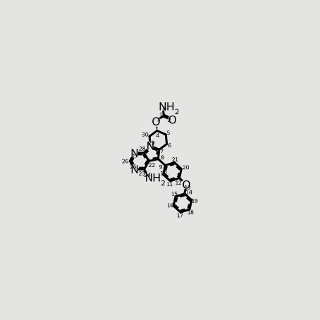 NC(=O)O[C@@H]1CCc2c(-c3ccc(Oc4ccccc4)cc3)c3c(N)ncnc3n2C1